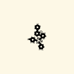 Cc1ccc(-c2nc(-c3ccccc3)nc(-c3cccc4oc5c(-c6ccccc6)cccc5c34)n2)cc1